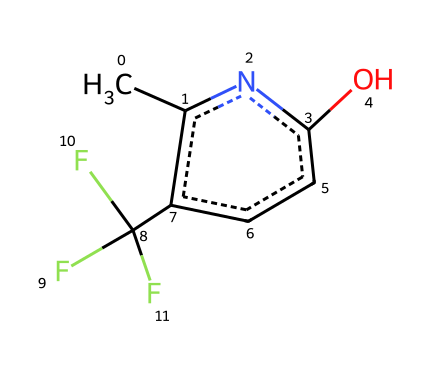 Cc1nc(O)ccc1C(F)(F)F